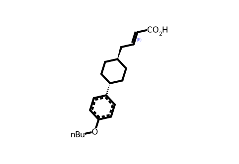 CCCCOc1ccc([C@H]2CC[C@H](C/C=C/C(=O)O)CC2)cc1